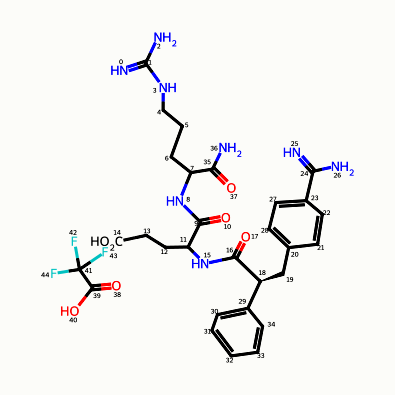 N=C(N)NCCCC(NC(=O)C(CCC(=O)O)NC(=O)[C@@H](Cc1ccc(C(=N)N)cc1)c1ccccc1)C(N)=O.O=C(O)C(F)(F)F